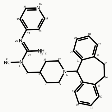 N#CN(CC1CCN(C2c3ccccc3CCc3ccccc32)CC1)/C(N)=N/c1ccncc1